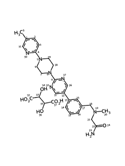 Cc1ccc(N2CCN(c3ncc(-c4cccc(CN(C)CC(N)=O)c4)cn3)CC2)nc1.O=C(O)C(O)C(O)C(=O)O